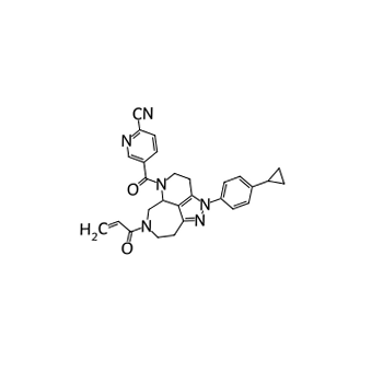 C=CC(=O)N1CCc2nn(-c3ccc(C4CC4)cc3)c3c2C(C1)N(C(=O)c1ccc(C#N)nc1)CC3